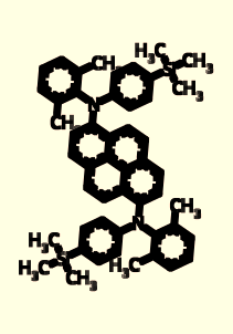 Cc1cccc(C)c1N(c1ccc([Si](C)(C)C)cc1)c1ccc2ccc3c(N(c4ccc([Si](C)(C)C)cc4)c4c(C)cccc4C)ccc4ccc1c2c43